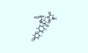 O=C(NO)C(CN1C(=O)CNC1=O)CS(=O)(=O)c1ccc(-c2ccc(Cl)cc2)cc1